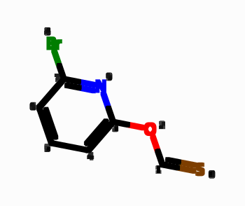 S=COc1cccc(Br)n1